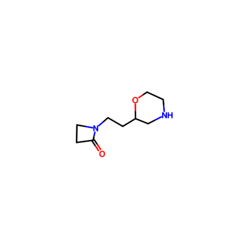 O=C1CCN1CCC1CNCCO1